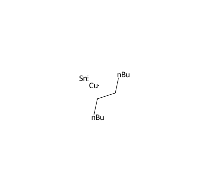 CCCCCCCCCC.[Cu].[Sn]